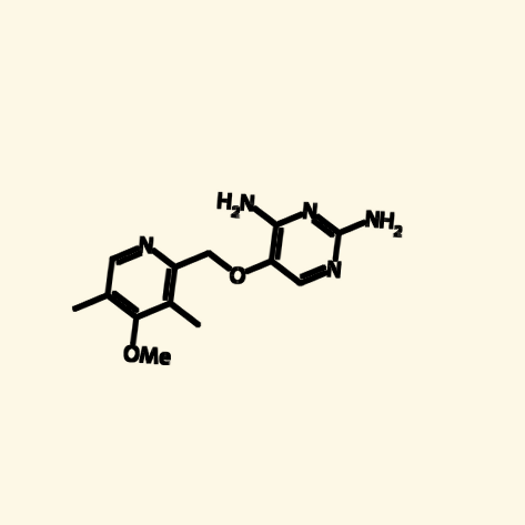 COc1c(C)cnc(COc2cnc(N)nc2N)c1C